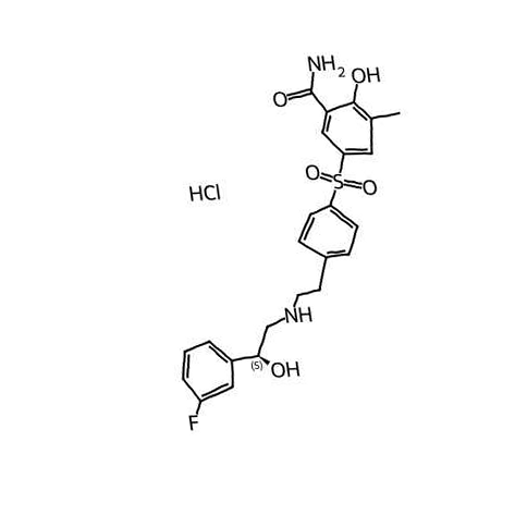 Cc1cc(S(=O)(=O)c2ccc(CCNC[C@@H](O)c3cccc(F)c3)cc2)cc(C(N)=O)c1O.Cl